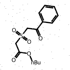 CCCCOC(=O)CS(=O)(=O)CC(=O)c1ccccc1